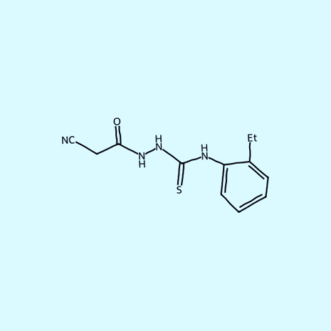 CCc1ccccc1NC(=S)NNC(=O)CC#N